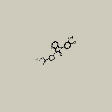 CC(C)(C)OC(=O)N1CC[C@H](n2c(=O)n(-c3ccc(Cl)c(O)c3)c3cccnc32)C1